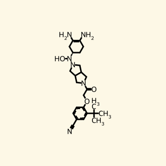 CC(C)(C)c1cc(C#N)ccc1OCC(=O)N1CC2CN(N(O)[C@@H]3CCC(N)=C(N)C3)CC2C1